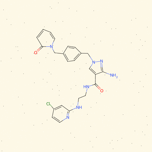 Nc1nn(Cc2ccc(Cn3ccccc3=O)cc2)cc1C(=O)NCCNc1cc(Cl)ccn1